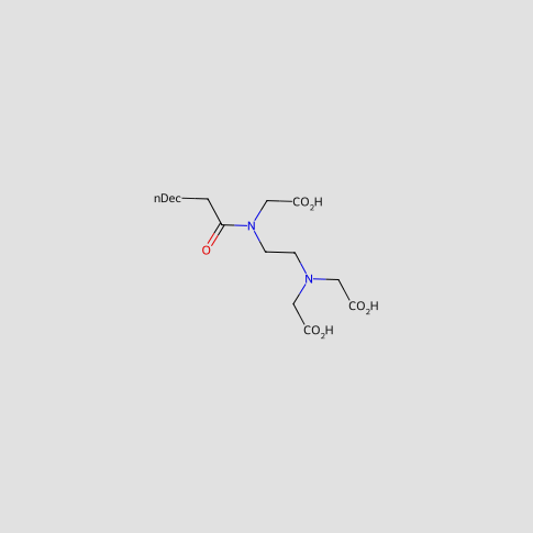 CCCCCCCCCCCC(=O)N(CCN(CC(=O)O)CC(=O)O)CC(=O)O